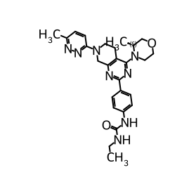 CCNC(=O)Nc1ccc(-c2nc3c(c(N4CCOC[C@@H]4C)n2)CCN(c2ccc(C)nn2)C3)cc1